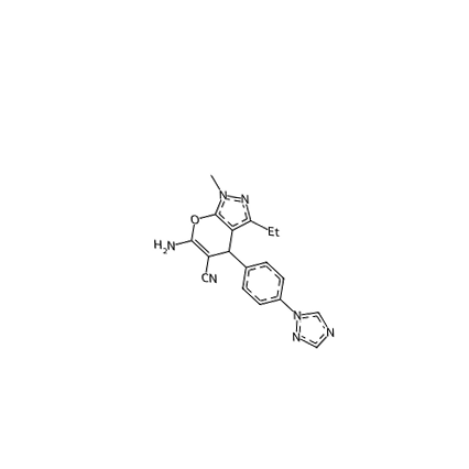 CCc1nn(C)c2c1C(c1ccc(-n3cncn3)cc1)C(C#N)=C(N)O2